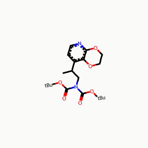 CC(CN(C(=O)OC(C)(C)C)C(=O)OC(C)(C)C)c1ccnc2c1OCCO2